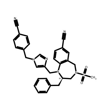 CS(=O)(=O)N1Cc2cc(C#N)ccc2N(Cc2cn(Cc3ccc(C#N)cc3)cn2)[C@H](Cc2ccccc2)C1